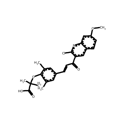 COc1ccc2cc(C(=O)/C=C/c3cc(C)c(OC(C)(C)C(=O)O)c(C)c3)c(Cl)nc2c1